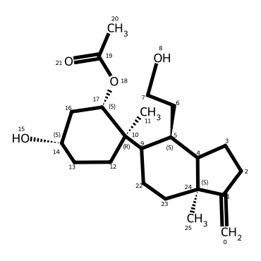 C=C1CCC2[C@H](CCO)C([C@@]3(C)CC[C@H](O)C[C@@H]3OC(C)=O)CC[C@]12C